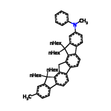 CCCCCCC1(CCCCCC)c2cc(C)ccc2-c2ccc3c(c21)Cc1c-3ccc2c1C(CCCCCC)(CCCCCC)c1cc(N(C)c3ccccc3)ccc1-2